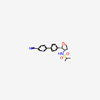 CC(C)S(=O)(=O)N[C@@H]1CCO[C@@H]1c1ccc(-c2ccc(C#N)cc2)cc1